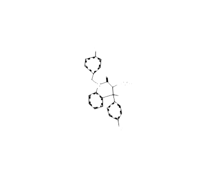 COC1C(=O)N(Cc2ccc(Cl)cc2)c2ccccc2C1(O)c1ccc(Br)cc1